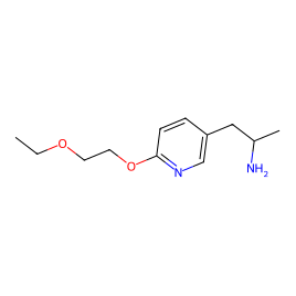 CCOCCOc1ccc(CC(C)N)cn1